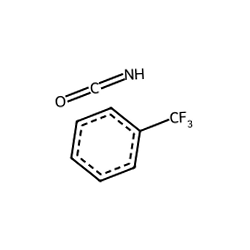 FC(F)(F)c1ccccc1.N=C=O